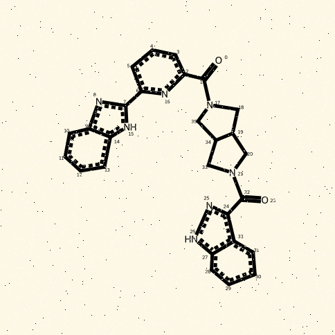 O=C(c1cccc(-c2nc3ccccc3[nH]2)n1)N1CC2CN(C(=O)c3n[nH]c4ccccc34)CC2C1